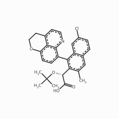 Cc1cc2ccc(Cl)cc2c(-c2ccc3c4c(ccnc24)CCO3)c1[C@@H](OC(C)(C)C)C(=O)O